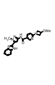 COC1CN(c2ccc(C(=O)Nc3cc(-c4nc5ccccc5[nH]4)n(C)n3)cn2)C1